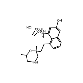 CC(=O)O.CC(=O)O.CC1CNCC(C)(CCc2cccc3cc(O)cc(O)c23)O1.Cl